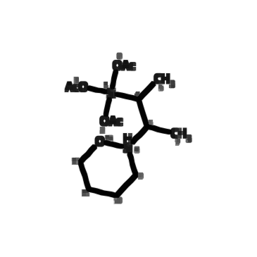 CC(=O)O[Si](OC(C)=O)(OC(C)=O)C(C)C(C)[SiH]1CCCCO1